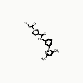 Cc1cc(C)n(-c2cccc(NC(=O)C3CCN(C(=O)OC(C)(C)C)C3)c2)n1